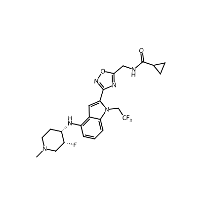 CN1CC[C@H](Nc2cccc3c2cc(-c2noc(CNC(=O)C4CC4)n2)n3CC(F)(F)F)[C@H](F)C1